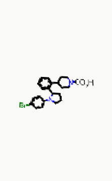 O=C(O)N1CCC(c2ccccc2C2CCCN2c2ccc(Br)cc2)CC1